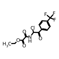 CCOC(=O)C(=O)NC(Cl)C(=O)c1ccc(C(F)(F)F)cc1